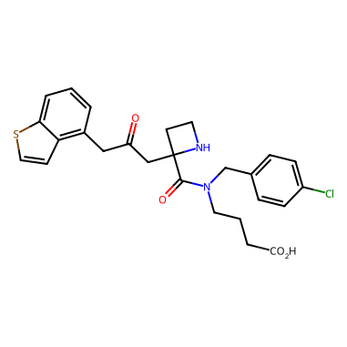 O=C(O)CCCN(Cc1ccc(Cl)cc1)C(=O)C1(CC(=O)Cc2cccc3sccc23)CCN1